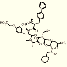 C=[N+](C=O)[C@@H](Cc1ccc(-c2ccccc2)cc1)C(=O)[N+](=C)[C@@H](Cc1ccc(OCC(=O)O)cc1)C(=O)N(C)[C@@H](C)C(=O)N[C@H](CC(C)C)C(=O)N[C@@H](CC(N)=O)C(=O)N[C@@H](CC1CCCCC1)C(C)=O